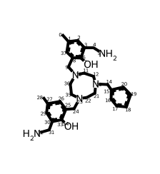 Cc1cc(CN)c(O)c(CN2CCN(Cc3ccccc3)CCN(Cc3cc(C)cc(CN)c3O)CC2)c1